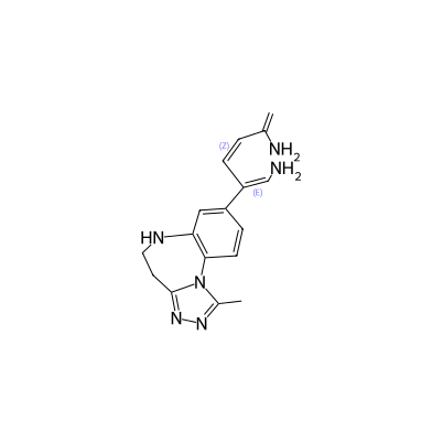 C=C(N)/C=C\C(=C/N)c1ccc2c(c1)NCCc1nnc(C)n1-2